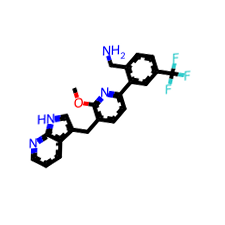 COc1nc(-c2cc(C(F)(F)F)ccc2CN)ccc1Cc1c[nH]c2ncccc12